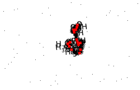 CC1C(C(=O)NCC(=O)NC2NC(c3cccc(C4CCN(C5CCCCCC5)C(N(C)CC(=O)NCCCCCNc5cccc6c5C(=O)N(C5CCC(=O)NC5=O)C6=O)C4)c3)CS2)CN(S(=O)(=O)C(C)C)C1C